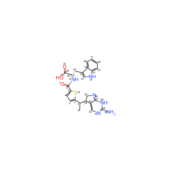 CC(c1ccc(C(=O)N[C@@H](Cc2c[nH]c3ccccc23)C(=O)O)s1)C1CN=C2NC(N)=NC=C21